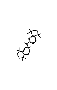 CN(c1ccc2c(c1)C(C)(C)CCC2(C)C)C1(C)C=C2C(=CC1)C(C)(C)CCC2(C)C